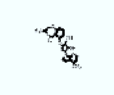 Cc1ccnc2c1ccn2C1CC(Oc2cccc3c2CNC(C)CO3)C(O)C1O